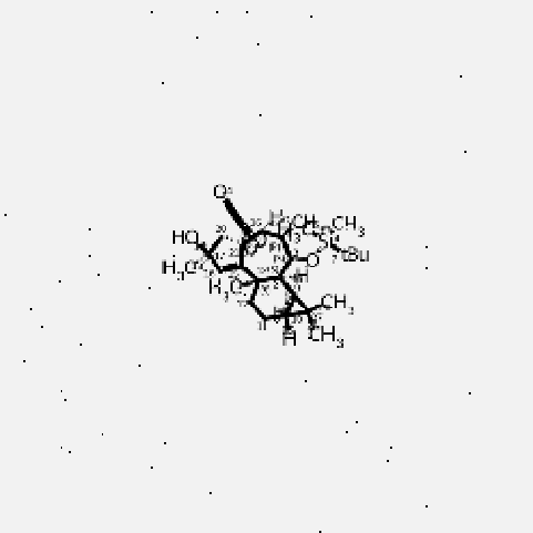 C[C@H]1[C@@H](O[Si](C)(C)C(C)(C)C)[C@H]2[C@H]3[C@@H](CC[C@]2(C)C2=C[C@@](C)(O)C[C@]24OC(=O)O[C@H]14)C3(C)C